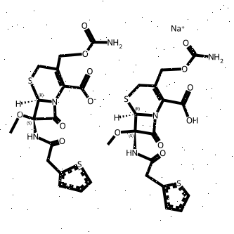 CO[C@@]1(NC(=O)Cc2cccs2)C(=O)N2C(C(=O)O)=C(COC(N)=O)CS[C@@H]21.CO[C@@]1(NC(=O)Cc2cccs2)C(=O)N2C(C(=O)[O-])=C(COC(N)=O)CS[C@@H]21.[Na+]